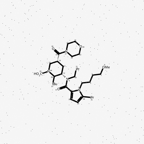 COCCCCn1c(C(=O)N(CC(C)C)[C@H]2C[C@@H](C(=O)N3CCOCC3)CN(C(=O)O)C2C(C)(C)C)ccc1C(C)C